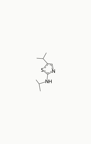 CC(C)Nc1ncc(C(C)C)s1